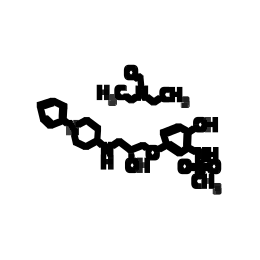 CCN(C=O)CC.CS(=O)(=O)Nc1cc(OC[C@@H](O)CNC2CCN(c3ccccc3)CC2)ccc1O